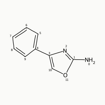 Nc1nc(-c2c[c]ccc2)co1